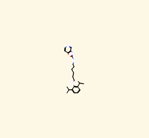 CC(C)c1cccc(C(C)C)c1NC(=O)CCCCCNc1nc2cnccc2o1